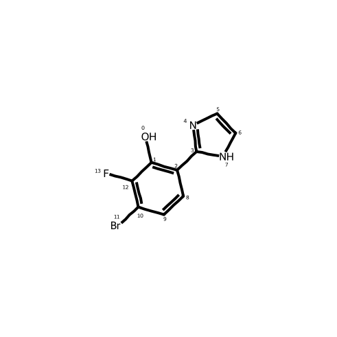 Oc1c(-c2ncc[nH]2)ccc(Br)c1F